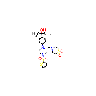 CC(C)(O)c1ccc(N2CCN(S(=O)(=O)c3cccs3)C[C@@H]2CN2CCS(=O)(=O)CC2)cc1